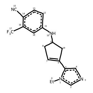 CCn1cncc1C1=CCC(Nc2ccc(C#N)c(C(F)(F)F)c2)C1